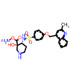 Cc1cc(COc2ccc(S(=O)(=O)N[C@@H]3CCNC[C@]3(O)C(=O)ON)cc2)c2ccccc2n1